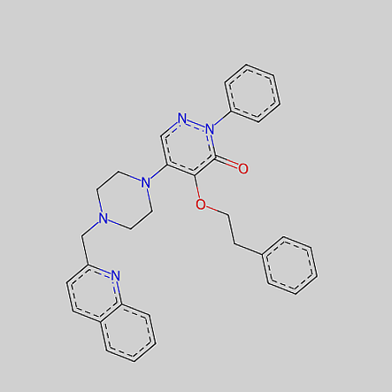 O=c1c(OCCc2ccccc2)c(N2CCN(Cc3ccc4ccccc4n3)CC2)cnn1-c1ccccc1